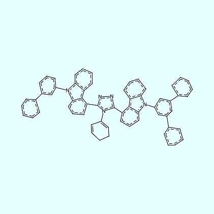 C1=CC(n2c(-c3cccc4c3c3ccccc3n4-c3cccc(-c4ccccc4)c3)nnc2-c2cccc3c2c2ccccc2n3-c2cc(-c3ccccc3)cc(-c3ccccc3)c2)=CCC1